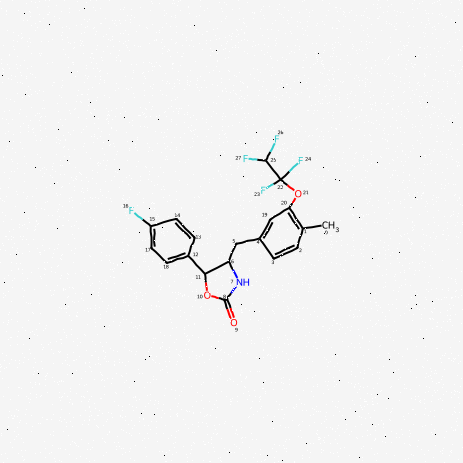 Cc1ccc(CC2NC(=O)OC2c2ccc(F)cc2)cc1OC(F)(F)C(F)F